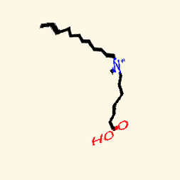 CCCCCCCCCCCC[N+](C)(C)CCCCCCC(=O)O